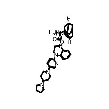 NC(=O)C12CC3C[C@H](C1)C(NC(=O)ON1CCN(c4ccc(N5CCC(N6CCCC6)CC5)cn4)c4ccccc41)[C@@H](C3)C2